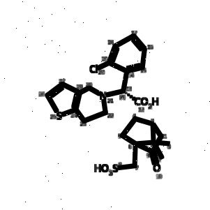 CC1(C)C2CCC1(CS(=O)(=O)O)C(=O)C2.O=C(O)[C@@H](c1ccccc1Cl)N1CCc2sccc2C1